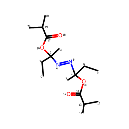 CCC(C)(N=NC(C)(CC)OC(=O)C(C)C)OC(=O)C(C)C